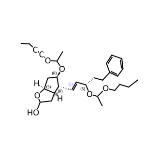 CCCCOC(C)O[C@H](/C=C/[C@@H]1[C@H]2CC(O)O[C@H]2C[C@H]1OC(C)OCCCC)CCc1ccccc1